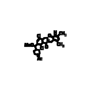 [CH2]C(=O)N1CCC(C(OC)c2cc(Cl)c3c(c2Cl)C(=O)N(Cc2c(C)cc(C)[nH]c2=O)CC3)CC1